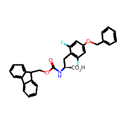 O=C(N[C@@H](Cc1c(F)cc(OCc2ccccc2)cc1F)C(=O)O)OCC1c2ccccc2-c2ccccc21